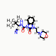 CC(C)(C)[C@@H](C#N)NC(=O)n1c(=O)n(CCN2CCOCC2)c2ccccc21